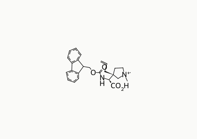 C=CC[C@@]1([C@H](NC(=O)OCC2c3ccccc3-c3ccccc32)C(=O)O)CC[N+](C)(C)C1